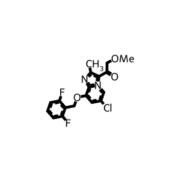 COCC(=O)c1c(C)nc2c(OCc3c(F)cccc3F)cc(Cl)cn12